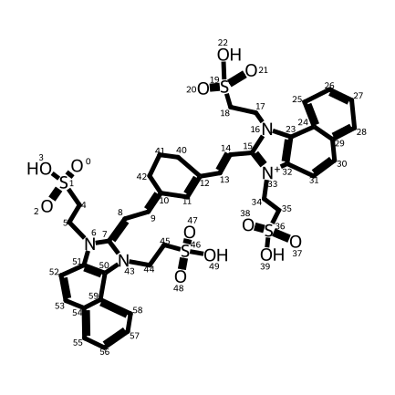 O=S(=O)(O)CCN1/C(=C/C=C2C=C(/C=C/c3n(CCS(=O)(=O)O)c4c5ccccc5ccc4[n+]3CCS(=O)(=O)O)CCC/2)N(CCS(=O)(=O)O)c2c1ccc1ccccc21